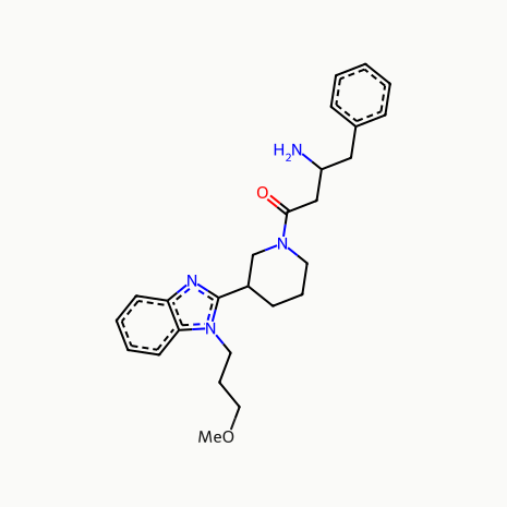 COCCCn1c(C2CCCN(C(=O)CC(N)Cc3ccccc3)C2)nc2ccccc21